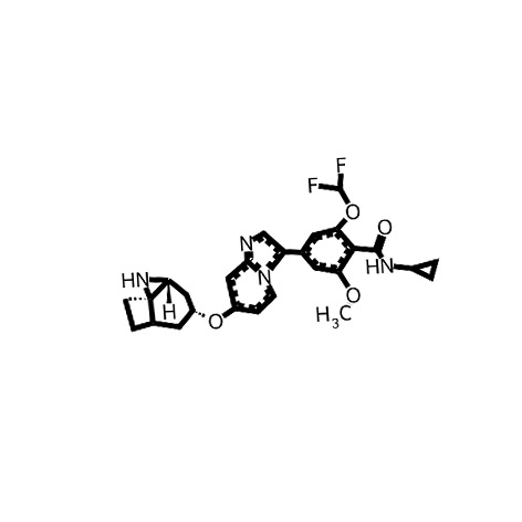 COc1cc(-c2cnc3cc(O[C@@H]4CC5CC[C@@]56N[C@@H]6C4)ccn23)cc(OC(F)F)c1C(=O)NC1CC1